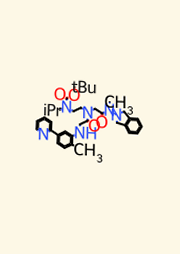 Cc1ccc(-c2ccccn2)cc1NCC(=O)N(CCN(C(=O)OC(C)(C)C)C(C)C)CC(=O)N(C)N1Cc2ccccc2C1